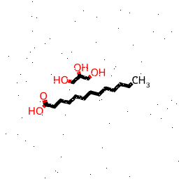 CCCCCCCCCCCCC(=O)O.OCC(O)CO